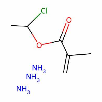 C=C(C)C(=O)OC(C)Cl.N.N.N